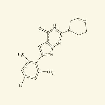 CCc1cc(C)c(-n2cc3c(=O)[nH]c(N4CCOCC4)nc3n2)c(C)c1